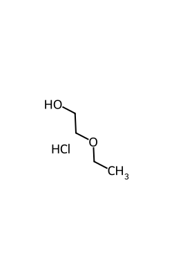 CCOCCO.Cl